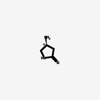 N[C@H]1CNC(=O)C1